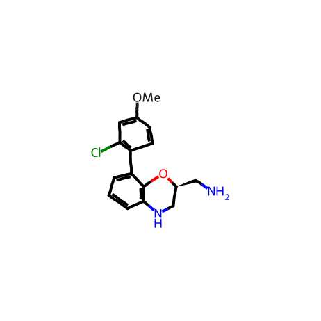 COc1ccc(-c2cccc3c2O[C@@H](CN)CN3)c(Cl)c1